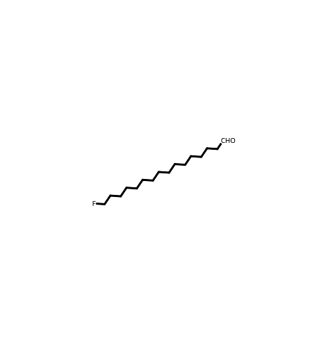 O=CCCCCCCCCCCCCCCCF